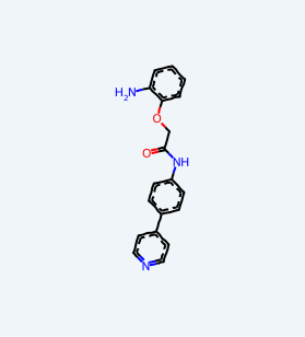 Nc1ccccc1OCC(=O)Nc1ccc(-c2ccncc2)cc1